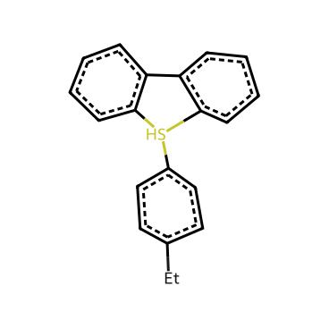 CCc1ccc([SH]2c3ccccc3-c3ccccc32)cc1